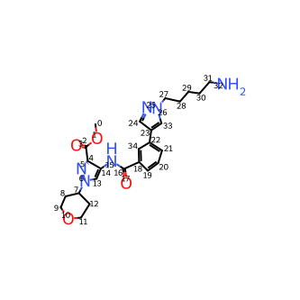 COC(=O)c1nn(C2CCOCC2)cc1NC(=O)c1cccc(-c2cnn(CCCCCN)c2)c1